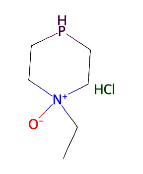 CC[N+]1([O-])CCPCC1.Cl